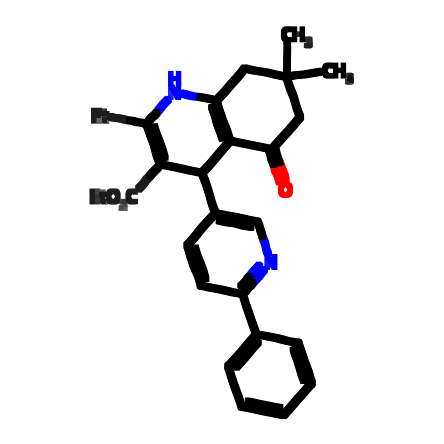 CCOC(=O)C1=C(CC)NC2=C(C(=O)CC(C)(C)C2)C1c1ccc(-c2ccccc2)nc1